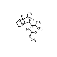 COC(=O)N[C@H](C(=O)N1C2CCC(CC2)[C@H]1C(C)C)C(C)C